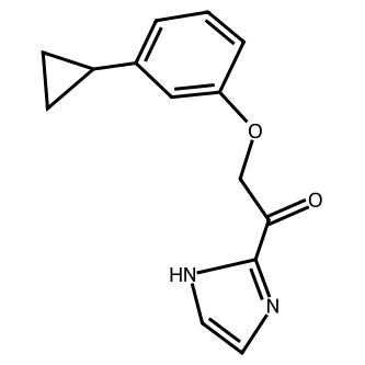 O=C(COc1cccc(C2CC2)c1)c1ncc[nH]1